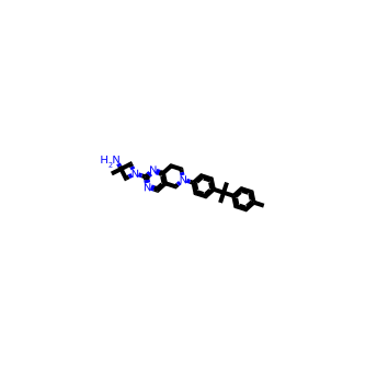 Cc1ccc(C(C)(C)c2ccc(N3CCc4nc(N5CC(C)(N)C5)ncc4C3)cc2)cc1